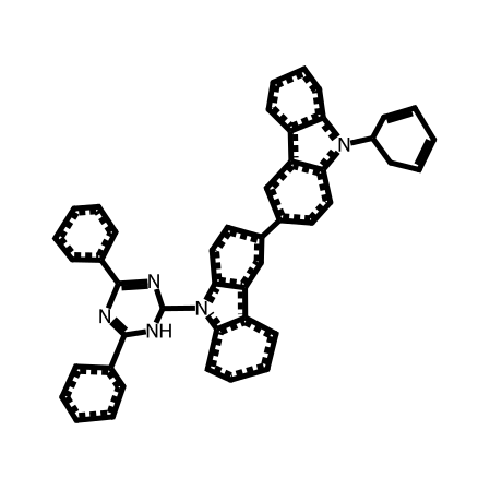 C1=CCC(n2c3ccccc3c3cc(-c4ccc5c(c4)c4ccccc4n5C4N=C(c5ccccc5)N=C(c5ccccc5)N4)ccc32)C=C1